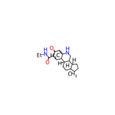 CCNC(=O)C1C[C@@]2(C)C(=CC1=O)NC[C@H]1[C@@H]3CCC[C@@]3(C)CC[C@@H]12